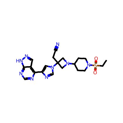 CCS(=O)(=O)N1CCC(N2CC(CC#N)(n3cnc(-c4ncnc5[nH]ncc45)c3)C2)CC1